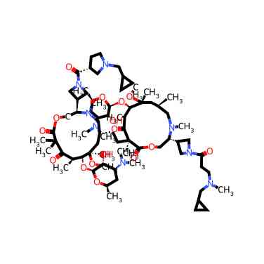 CO[C@]1(C)C[C@@H](CC[C@]2(C)C(=O)OC[C@@H](C3CN(C(=O)CCN(C)CC4CC4)C3)N(C)C[C@H](C)C[C@@](C)(OC)[C@H](O[C@@H]3O[C@H](C)C[C@H](N(C)C)[C@H]3O)[C@@H](C)C2=O)CN(C)[C@H](C2CN(C(=O)[C@@H]3CCN(CC4CC4)C3)C2)COC(=O)C(C)(C)C(=O)[C@H](C)[C@H]1O[C@@H]1O[C@H](C)C[C@H](N(C)C)[C@H]1O